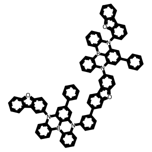 c1ccc(-c2cc3c4c(c2)N(c2ccc5oc6ccccc6c5c2)c2ccccc2B4c2ccccc2N3c2cccc(-c3ccc4c(c3)oc3ccc(N5c6ccccc6B6c7ccccc7N(c7cccc8c7oc7ccccc78)c7cc(-c8ccccc8)cc5c76)cc34)c2)cc1